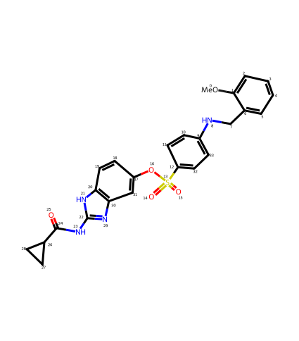 COc1ccccc1CNc1ccc(S(=O)(=O)Oc2ccc3[nH]c(NC(=O)C4CC4)nc3c2)cc1